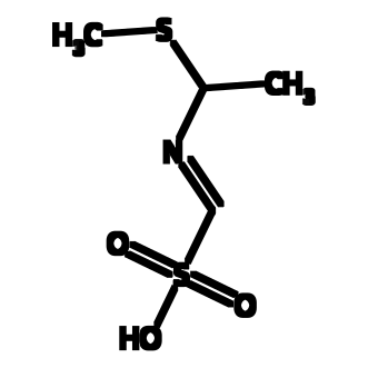 CSC(C)N=CS(=O)(=O)O